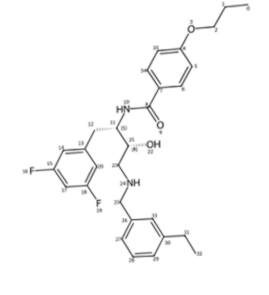 CCCOc1ccc(C(=O)N[C@@H](Cc2cc(F)cc(F)c2)[C@H](O)CNCc2cccc(CC)c2)cc1